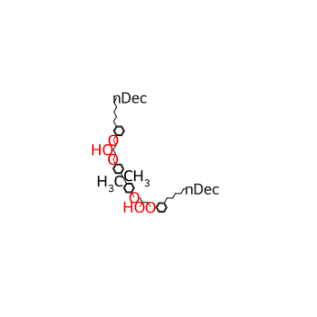 CCCCCCCCCCCCCCCc1cccc(OCC(O)COc2ccc(C(C)(C)c3ccc(OCC(O)COc4cccc(CCCCCCCCCCCCCCC)c4)cc3)cc2)c1